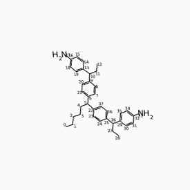 CCCCCC(c1ccc(C(CC)c2ccc(N)cc2)cc1)c1ccc(C(CC)c2ccc(N)cc2)cc1